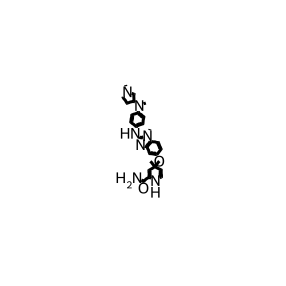 CN1CCC(N(C)c2ccc(Nc3nc4cc(OC5(C)C=CNC(C(N)=O)=C5)ccc4n3C)cc2)C1